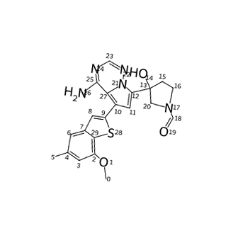 COc1cc(C)cc2cc(-c3cc(C4(O)CCN(C=O)C4)n4ncnc(N)c34)sc12